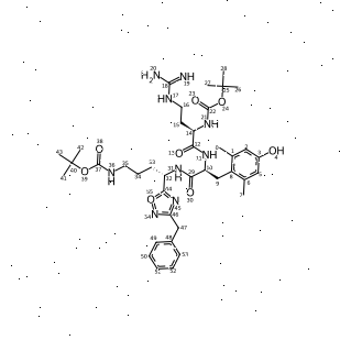 Cc1cc(O)cc(C)c1C[C@H](NC(=O)[C@@H](CCNC(=N)N)NC(=O)OC(C)(C)C)C(=O)N[C@@H](CCCNC(=O)OC(C)(C)C)c1nc(Cc2ccccc2)no1